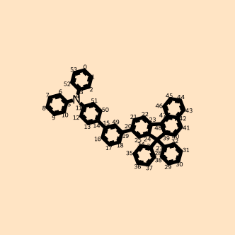 c1ccc(N(c2ccccc2)c2ccc(-c3cccc(-c4ccc5c(c4)C(c4ccccc4)(c4ccccc4)c4ccc6ccccc6c4-5)c3)cc2)cc1